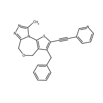 Cc1nnc2n1-c1sc(C#Cc3cccnc3)c(Cc3ccccc3)c1COC2